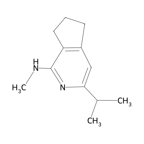 CNc1nc(C(C)C)cc2c1CCC2